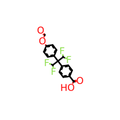 O=COc1ccc(C(c2ccc(C(=O)O)cc2)(C(F)F)C(F)F)cc1